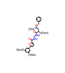 CCCCCC(CN(C=O)OCc1ccccc1)C(=O)NCNC(=O)c1ccc(-c2cc(OC)cc(OC)c2)o1